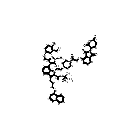 Cc1c(-c2cccc3c(CCCOc4cccc5ccccc45)c(C(=O)OC(C)(C)C)n(CCN4CCN(C(=O)COc5cccc6c5C(=O)N(C5CCC(=O)NC5=O)C6=O)CC4)c23)c(COc2ccc(Br)c(C=O)c2)nn1C